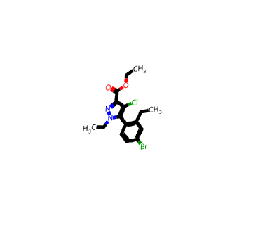 CCOC(=O)c1nn(CC)c(-c2ccc(Br)cc2CC)c1Cl